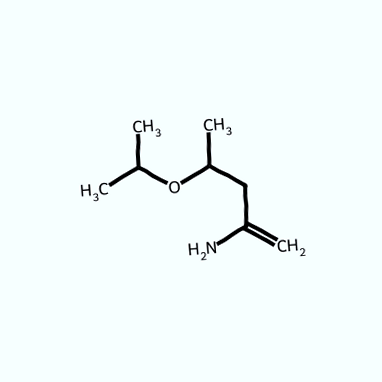 C=C(N)CC(C)OC(C)C